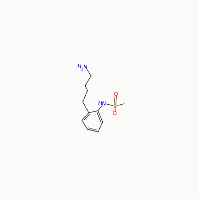 CS(=O)(=O)Nc1ccccc1CCCCN